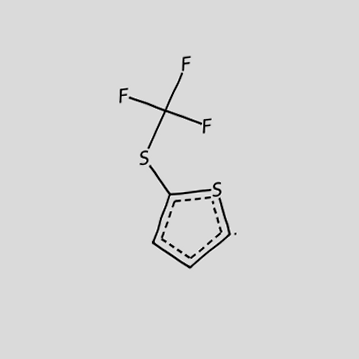 FC(F)(F)Sc1cc[c]s1